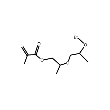 C=C(C)C(=O)OCC(C)OCC(C)OCC